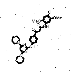 COc1cc(NC(=O)CC(=O)c2ccc(Nc3nc(N4CCCCC4)nc(N4CCCCC4)n3)cc2)c(OC)cc1Cl